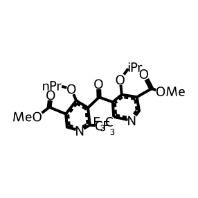 CCCOc1c(C(=O)OC)cnc(C(F)(F)F)c1C(=O)c1c(C(F)(F)F)ncc(C(=O)OC)c1OC(C)C